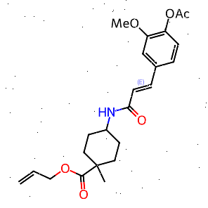 C=CCOC(=O)C1(C)CCC(NC(=O)/C=C/c2ccc(OC(C)=O)c(OC)c2)CC1